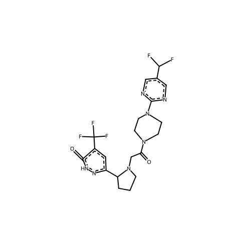 O=C(CN1CCCC1c1cc(C(F)(F)F)c(=O)[nH]n1)N1CCN(c2ncc(C(F)F)cn2)CC1